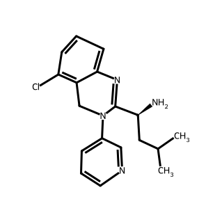 CC(C)C[C@H](N)C1=Nc2cccc(Cl)c2CN1c1cccnc1